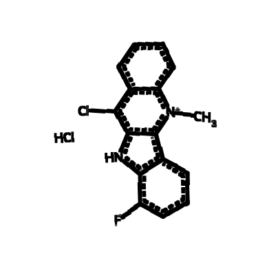 C[n+]1c2ccccc2c(Cl)c2[nH]c3c(F)cccc3c21.Cl